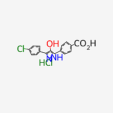 Cl.O=C(O)c1ccc(-c2[nH]nc(-c3ccc(Cl)cc3)c2O)cc1